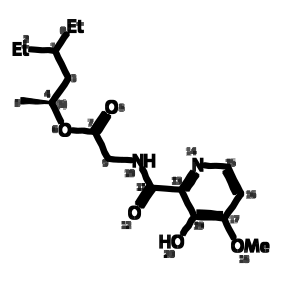 CCC(CC)C[C@H](C)OC(=O)CNC(=O)c1nccc(OC)c1O